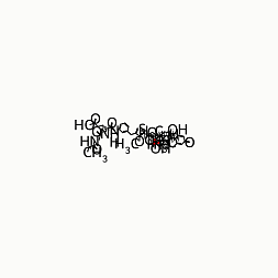 CCC(=O)NCC(=O)N[C@@H](CCC(=O)O)C(=O)Nc1cccc(Cc2csc([C@@H]3O[C@@H]4C[C@H]5[C@@H]6CCC7=CC(=O)C=C[C@]7(C)[C@H]6[C@@H](O)C[C@]5(C)[C@]4(C(=O)CO)O3)c2OC)c1